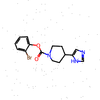 O=C(Oc1ccccc1Br)N1CCC(c2cnc[nH]2)CC1